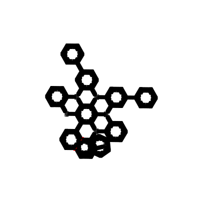 Fc1cccc(F)c1N1c2ccccc2B2c3cc(-c4ccccc4)ccc3N3c4ccc(-c5ccccc5)cc4B4c5ccccc5Sc5c4c3c2c1c5-c1cccc2oc3ccccc3c12